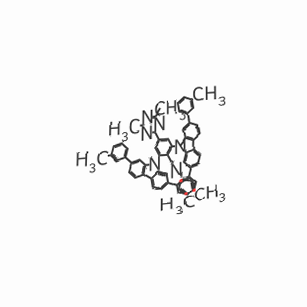 Cc1cccc(-c2ccc3c4ccc(-c5cccc(C)c5)cc4n(-c4cc(-c5nc(C)nc(C)n5)cc(-n5c6cc(-c7cccc(C)c7)ccc6c6ccc(-c7cccc(C)c7)cc65)c4C#N)c3c2)c1